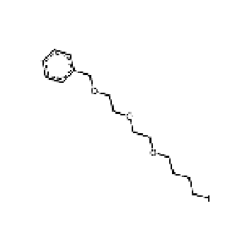 ICCCCOCCOCCOCc1ccccc1